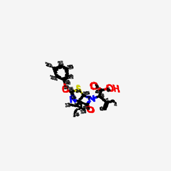 C=C(C)C(C(=O)O)N1C(=O)C2([Si](C)(C)C)N=C(Oc3ccccc3)SC12